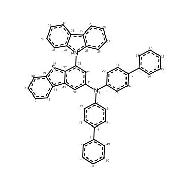 c1ccc(-c2ccc(N(c3ccc(-c4ccccc4)cc3)c3cc(-n4c5ccccc5c5ccccc54)c4sc5ccccc5c4c3)cc2)cc1